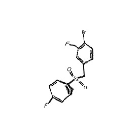 O=S(=O)(Cc1ccc(Br)c(F)c1)c1ccc(F)cc1